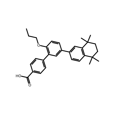 CCCOc1ccc(-c2ccc3c(c2)C(C)(C)CCC3(C)C)cc1-c1ccc(C(=O)O)cc1